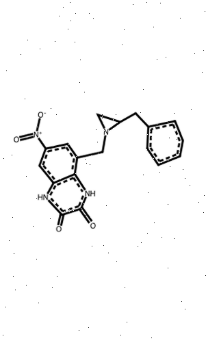 O=c1[nH]c2cc([N+](=O)[O-])cc(CN3CC3Cc3ccccc3)c2[nH]c1=O